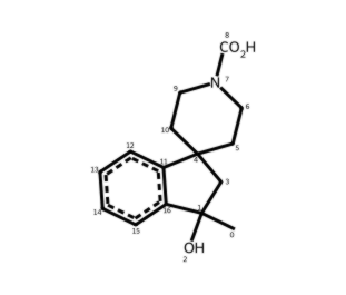 CC1(O)CC2(CCN(C(=O)O)CC2)c2ccccc21